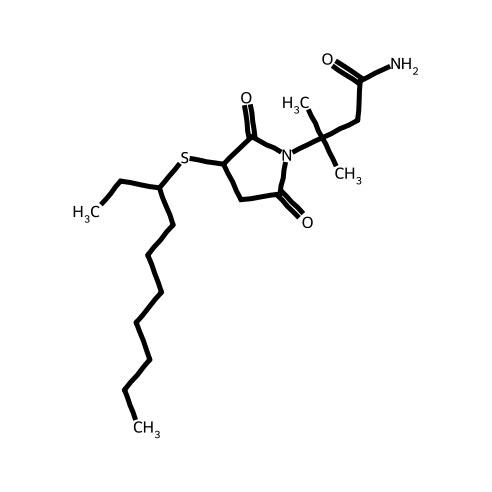 CCCCCCCC(CC)SC1CC(=O)N(C(C)(C)CC(N)=O)C1=O